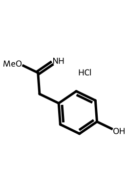 COC(=N)Cc1ccc(O)cc1.Cl